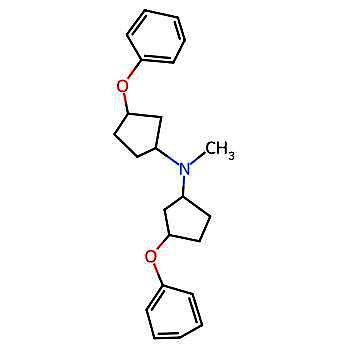 CN(C1CCC(Oc2ccccc2)C1)C1CCC(Oc2ccccc2)C1